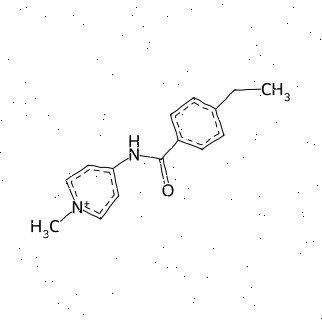 CCc1ccc(C(=O)Nc2cc[n+](C)cc2)cc1